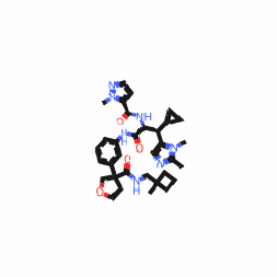 Cc1ncc(C(C2CC2)[C@H](NC(=O)c2ccnn2C)C(=O)Nc2cccc(C3(C(=O)NCC4(C)CCC4)CCOC3)c2)n1C